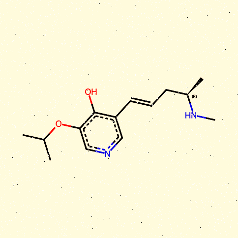 CN[C@H](C)CC=Cc1cncc(OC(C)C)c1O